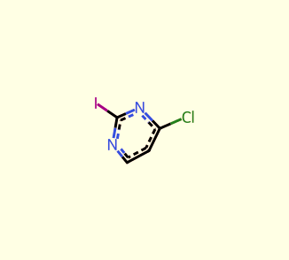 Clc1ccnc(I)n1